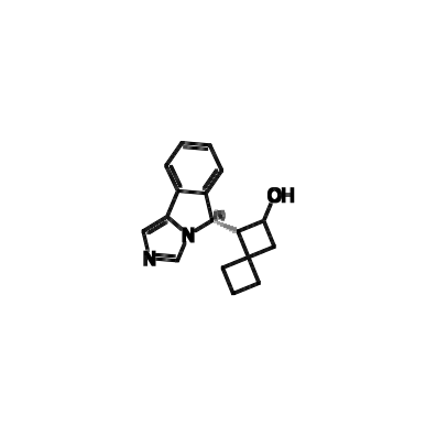 OC1CC2(CCC2)C1[C@H]1c2ccccc2-c2cncn21